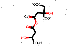 O=C([O-])CC(O)(CC(=O)OC(=O)CC(O)C(=O)O)C(=O)[O-].[Ca+2]